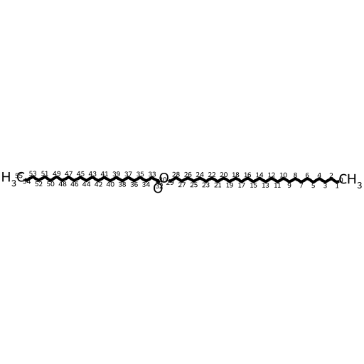 CCCCCCCCCCCCCCCCCCCCCCCCCCCCCCOC(=O)CCCCCCCCCCCCCCCCCCCCCCC